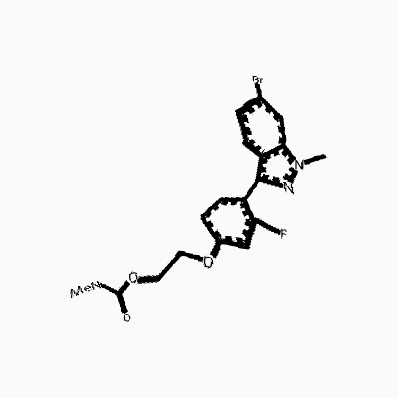 CNC(=O)OCCOc1ccc(-c2nn(C)c3cc(Br)ccc23)c(F)c1